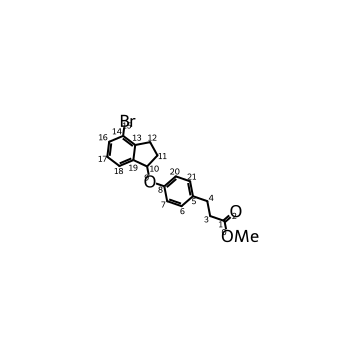 COC(=O)CCc1ccc(OC2CCc3c(Br)cccc32)cc1